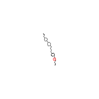 C=CCCOCc1ccc(CCCCC2CCC(C3CCC(CC=C)CC3)CC2)cc1